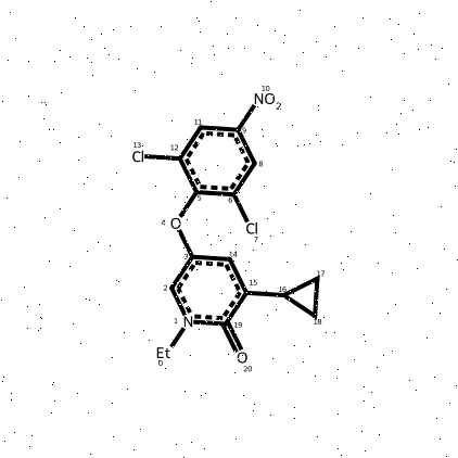 CCn1cc(Oc2c(Cl)cc([N+](=O)[O-])cc2Cl)cc(C2CC2)c1=O